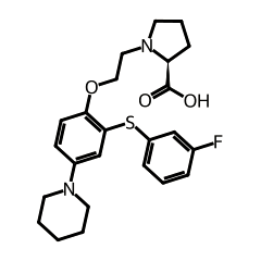 O=C(O)[C@@H]1CCCN1CCOc1ccc(N2CCCCC2)cc1Sc1cccc(F)c1